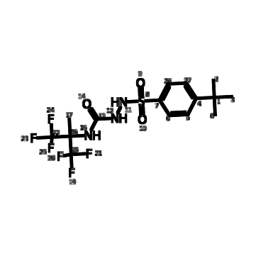 CC(C)(C)c1ccc(S(=O)(=O)NNC(=O)NC(C)(C(F)(F)F)C(F)(F)F)cc1